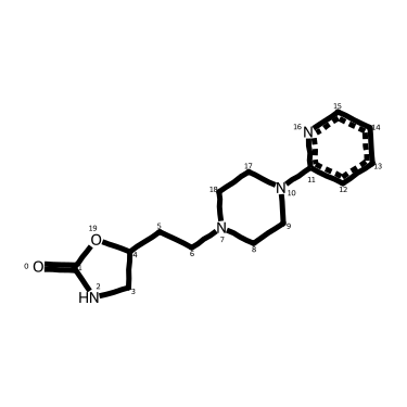 O=C1NCC(CCN2CCN(c3ccccn3)CC2)O1